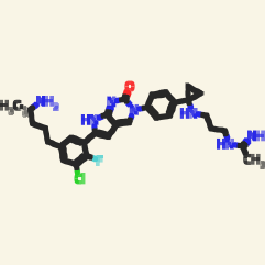 CC(=N)NCCCNC1(c2ccc(-n3cc4cc(-c5cc(CCC[C@H](C)N)cc(Cl)c5F)[nH]c4nc3=O)cc2)CC1